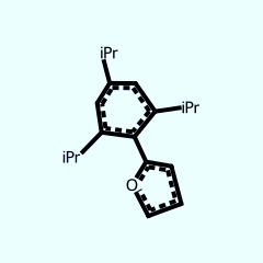 CC(C)c1cc(C(C)C)c(-c2ccco2)c(C(C)C)c1